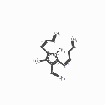 C=C/C=C\c1c(C)c(C=C)c(/C=C\CC=C)n1C